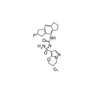 CO[C@@H]1COc2c(S(N)(=O)=NC(=O)Nc3c4c(cc5c3C[C@@H](F)C5)CCC4)cnn2C1